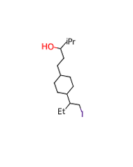 CCC(CI)C1CCC(CCC(O)C(C)C)CC1